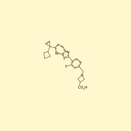 O=C(O)C1CN(Cc2ccc(-c3nc4ccc(C5(C6CCC6)C=C5)nc4s3)c(F)c2)C1